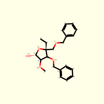 CC[C@]1(COCc2ccccc2)O[C@@H](O)C(OC)C1OCc1ccccc1